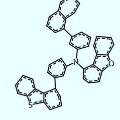 c1cc(-c2cccc3ccccc23)cc(N(c2cccc(-c3cccc4sc5ccccc5c34)c2)c2cccc3oc4ccccc4c23)c1